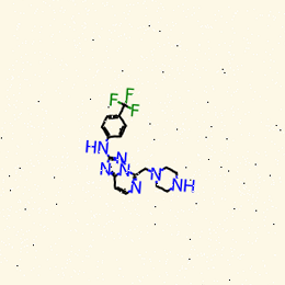 FC(F)(F)c1ccc(Nc2nc3ccnc(CN4CCNCC4)n3n2)cc1